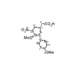 COc1cnc(-c2cc(CC(=O)O)cc([N+](=O)[O-])c2OC)nc1